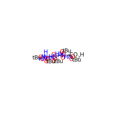 CC(C)(C)OC(=O)/N=C(/NCCCC[C@H](NC(=O)OC(C)(C)C)C(=O)NCCCC[C@H](NC(=O)OC(C)(C)C)C(=O)NCCCC[C@H](NC(=O)OC(C)(C)C)C(=O)O)NC(=O)OC(C)(C)C